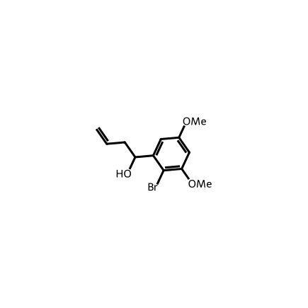 C=CCC(O)c1cc(OC)cc(OC)c1Br